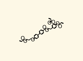 C=CC(=O)OCCCOc1ccc(-c2ccc(C(=O)OCCc3ccc(OC(=O)C=C)c(OC(=O)C=C)c3)cc2)cc1